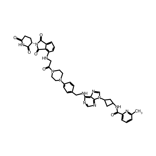 Cc1cccc(C(=O)NC2CC(n3cnc4c(NCc5ccc(N6CCN(C(=O)CNc7cccc8c7C(=O)N([C@H]7CCC(=O)NC7=O)C8=O)CC6)cc5)ncnc43)C2)n1